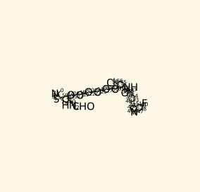 Cc1ncsc1-c1ccc(CNC=O)c(OCCOCCOCCOCCOCCOc2cc(NC(=O)[C@H](C)[C@H]3CC[C@@H](c4ccnc5ccc(F)cc54)CC3)ccc2Cl)c1